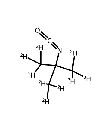 [2H]C([2H])([2H])C(N=C=O)(C([2H])([2H])[2H])C([2H])([2H])[2H]